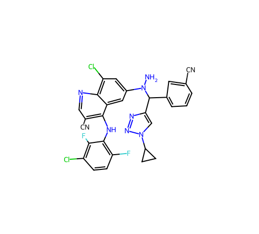 N#Cc1cccc(C(c2cn(C3CC3)nn2)N(N)c2cc(Cl)c3ncc(C#N)c(Nc4c(F)ccc(Cl)c4F)c3c2)c1